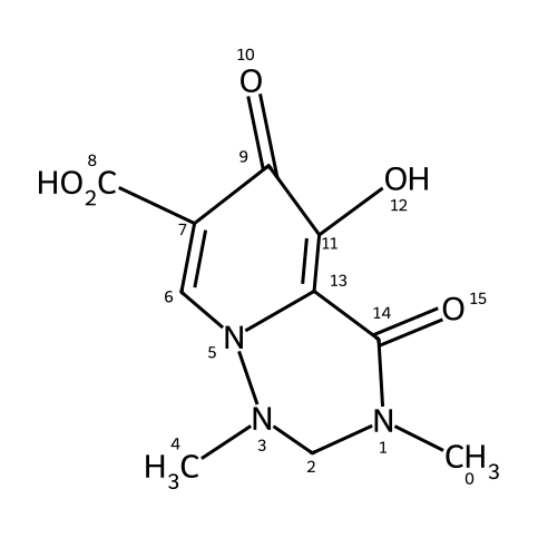 CN1CN(C)n2cc(C(=O)O)c(=O)c(O)c2C1=O